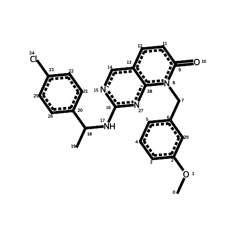 COc1cccc(Cn2c(=O)ccc3cnc(NC(C)c4ccc(Cl)cc4)nc32)c1